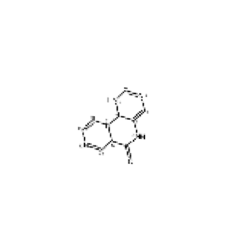 O=C1NC2=CN=CNC2N2C=CN=CC12